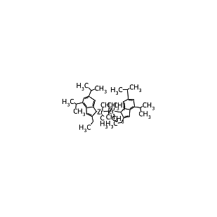 CCC1=Cc2c(C(C)C)cc(C(C)C)cc2[CH]1[Zr]([CH3])([CH3])[C](C)(C)[Zr]([CH3])([CH3])[CH]1C(CC)=Cc2c(C(C)C)cc(C(C)C)cc21